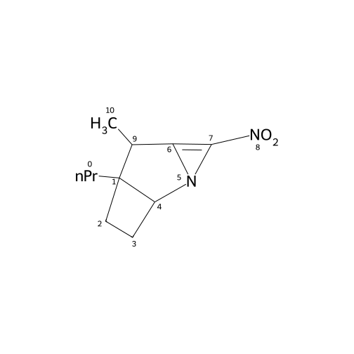 CCCC12CCC1N1C(=C1[N+](=O)[O-])C2C